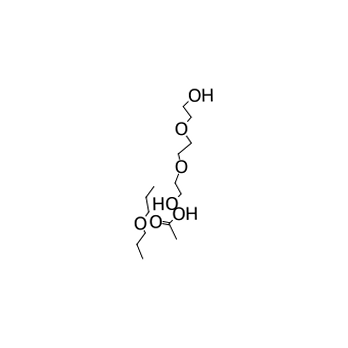 CC(=O)O.CCCOCCC.OCCOCCOCCO